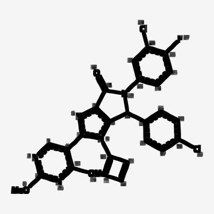 COc1ncc(-c2nc3c(n2C2=CC=C2)C(c2ccc(Cl)cc2)N(c2ccc(F)c(Cl)c2)C3=O)c(OC)n1